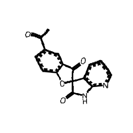 CC(=O)c1ccc2c(c1)C(=O)C1(O2)C(=O)Nc2ncccc21